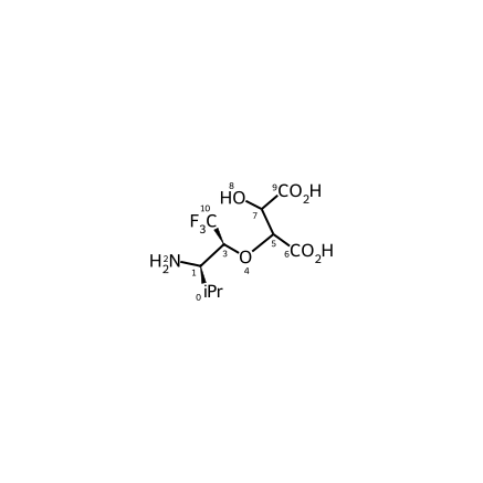 CC(C)[C@@H](N)[C@H](OC(C(=O)O)C(O)C(=O)O)C(F)(F)F